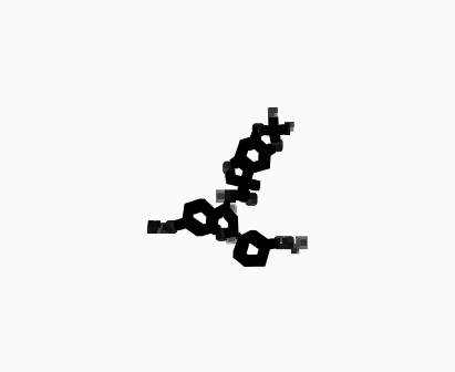 COc1ccc2c(c1)O[C@@H](c1cccc(C(=O)O)c1)C[C@H]2NC(=O)C1(C)COc2cc3c(cc21)OC(F)(F)O3